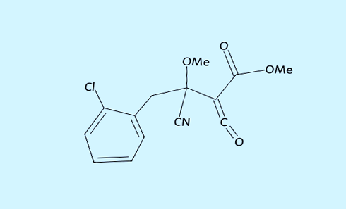 COC(=O)C(=C=O)C(C#N)(Cc1ccccc1Cl)OC